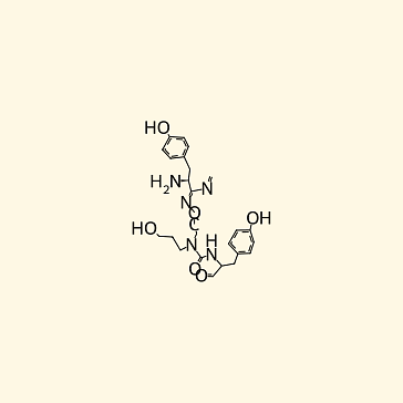 C=N/C(=N\OCCN(CCCO)C(=O)NC(C=O)Cc1ccc(O)cc1)[C@@H](N)Cc1ccc(O)cc1